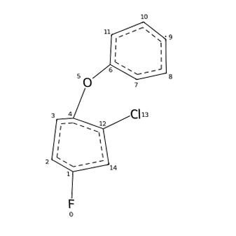 Fc1ccc(Oc2cc[c]cc2)c(Cl)c1